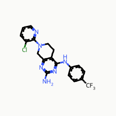 Nc1nc2c(c(Nc3ccc(C(F)(F)F)cc3)n1)CCN(c1ncccc1Cl)C2